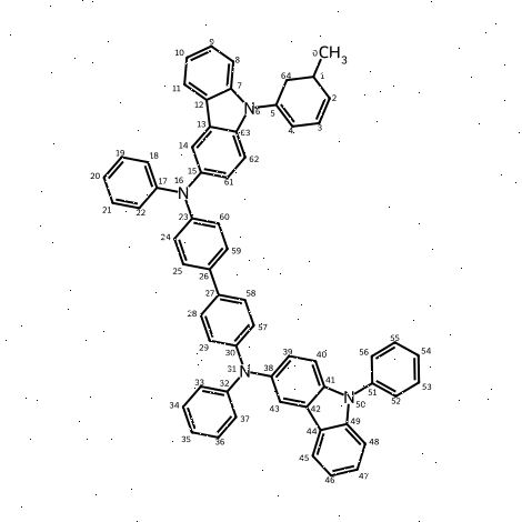 CC1C=CC=C(n2c3ccccc3c3cc(N(c4ccccc4)c4ccc(-c5ccc(N(c6ccccc6)c6ccc7c(c6)c6ccccc6n7-c6ccccc6)cc5)cc4)ccc32)C1